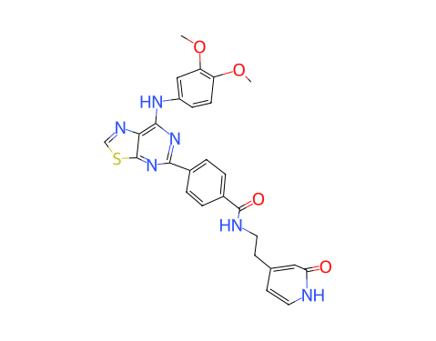 COc1ccc(Nc2nc(-c3ccc(C(=O)NCCc4cc[nH]c(=O)c4)cc3)nc3scnc23)cc1OC